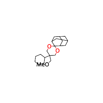 COCC1(C2CCCCC2)COC2(OC1)C1CC3CC(C1)CC2C3